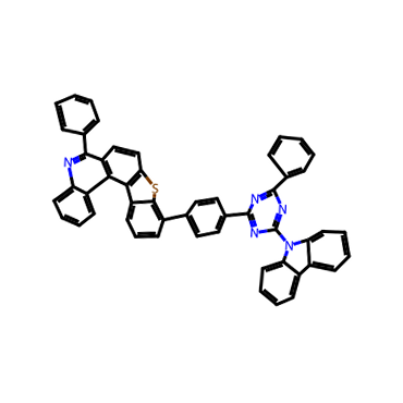 c1ccc(-c2nc(-c3ccc(-c4cccc5c4sc4ccc6c(-c7ccccc7)nc7ccccc7c6c45)cc3)nc(-n3c4ccccc4c4ccccc43)n2)cc1